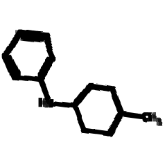 CC1CCC(Nc2cc[c]cc2)CC1